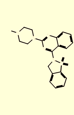 CN1CCN(c2nc(N3Cc4ccccc4S3(=O)=O)c3ccccc3n2)CC1